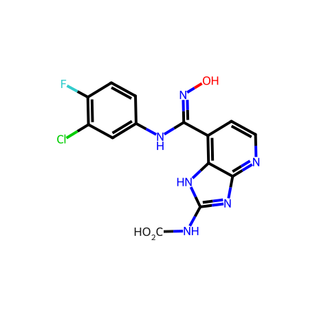 O=C(O)Nc1nc2nccc(/C(=N\O)Nc3ccc(F)c(Cl)c3)c2[nH]1